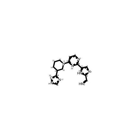 N=Cc1ncc(-c2nccc(N3CCCC(c4ncno4)C3)n2)[nH]1